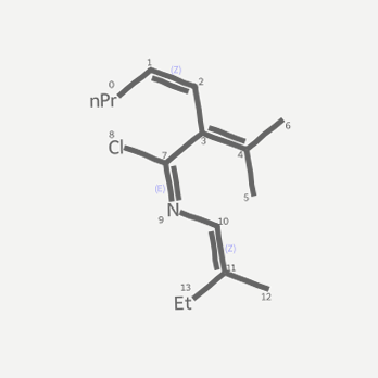 CCC/C=C\C(=C(C)C)/C(Cl)=N\C=C(\C)CC